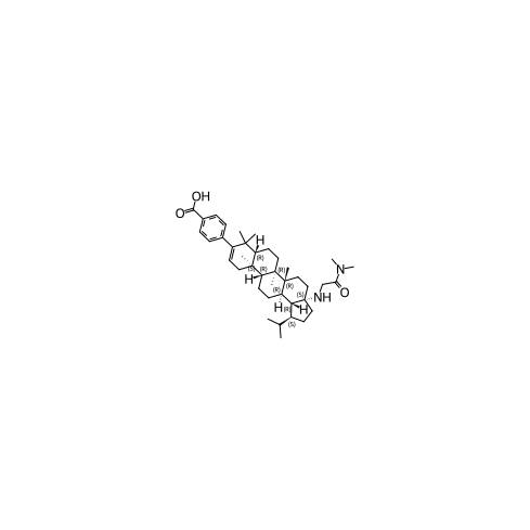 CC(C)[C@@H]1CC[C@]2(NCC(=O)N(C)C)CC[C@]3(C)[C@H](CC[C@@H]4[C@@]5(C)CC=C(c6ccc(C(=O)O)cc6)C(C)(C)[C@@H]5CC[C@]43C)[C@@H]12